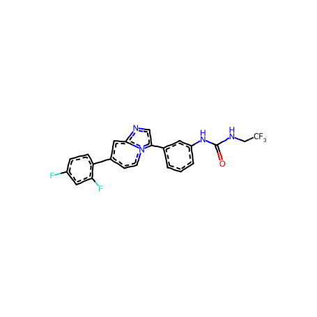 O=C(NCC(F)(F)F)Nc1cccc(-c2cnc3cc(-c4ccc(F)cc4F)ccn23)c1